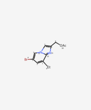 CCc1cc(Br)cn2cc(COC(C)=O)nc12